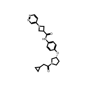 O=C(Nc1ccc(O[C@@H]2CCN(C(=O)CC3CC3)C2)cc1)C1CN(c2ccnnc2)C1